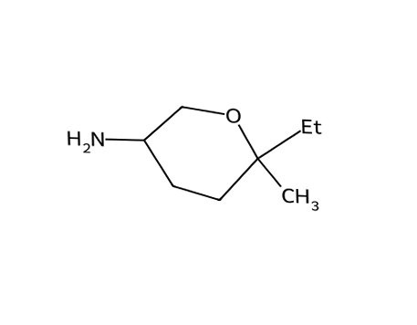 CCC1(C)CCC(N)CO1